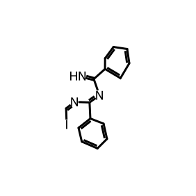 N=C(/N=C(\N=C/I)c1ccccc1)c1ccccc1